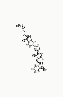 CCCOCCCNC(=O)c1ccc(-c2csc(N3N=C(C)/C(=N\Nc4ccccc4OCC)C3=O)n2)cc1